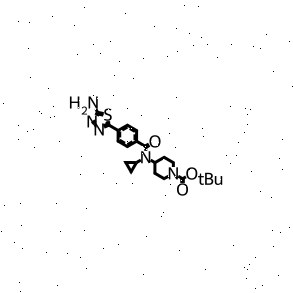 CC(C)(C)OC(=O)N1CCC(N(C(=O)c2ccc(-c3nnc(N)s3)cc2)C2CC2)CC1